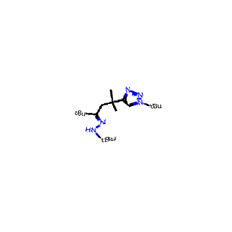 CC(C)(C)NN=C(CC(C)(C)c1cn(C(C)(C)C)nn1)C(C)(C)C